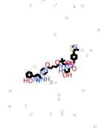 Cc1ncsc1-c1ccc(CNC(=O)[C@@H]2C[C@@H](O)CN2C(O)[C@@H](NC(=O)CCCC(=O)N2CCN(c3cc(-c4ccccc4O)nnc3N)CC2)C(C)(C)C)cc1